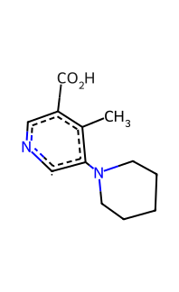 Cc1c(N2CCCCC2)[c]ncc1C(=O)O